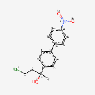 CC(O)(CCCl)c1ccc(-c2ccc([N+](=O)[O-])cc2)cc1